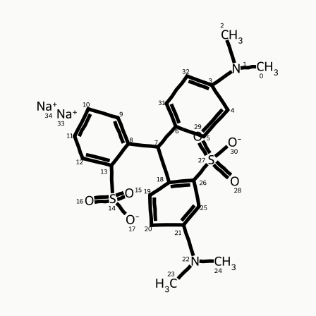 CN(C)c1ccc(C(c2ccccc2S(=O)(=O)[O-])c2ccc(N(C)C)cc2S(=O)(=O)[O-])cc1.[Na+].[Na+]